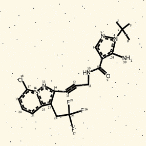 CC(C)(C)n1ncc(C(=O)NCC#Cc2nn3c(Cl)cccc3c2CC(F)(F)F)c1N